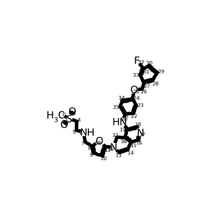 CS(=O)(=O)CCNCc1ccc(N2C=Cc3cncc(Nc4ccc(OCc5cccc(F)c5)cc4)c3C2)o1